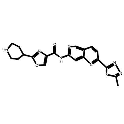 Cc1nnc(-c2ccc3cnc(NC(=O)c4coc(C5CCNCC5)n4)cc3n2)s1